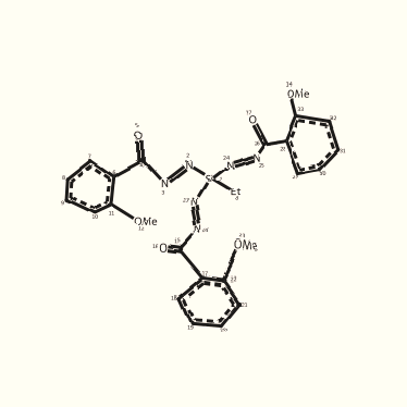 CC[Si](N=NC(=O)c1ccccc1OC)(N=NC(=O)c1ccccc1OC)N=NC(=O)c1ccccc1OC